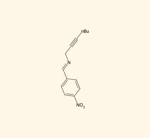 CCCCC#CCN=Cc1ccc([N+](=O)[O-])cc1